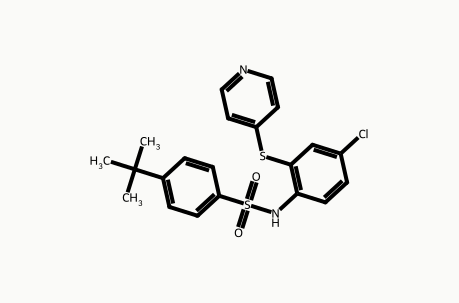 CC(C)(C)c1ccc(S(=O)(=O)Nc2ccc(Cl)cc2Sc2ccncc2)cc1